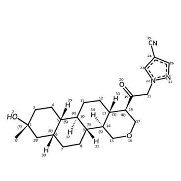 C[C@@]1(O)CC[C@H]2[C@H](CC[C@@H]3[C@@H]2CC[C@H]2[C@H]3COC[C@@H]2C(=O)Cn2cc(C#N)cn2)C1